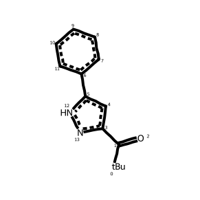 CC(C)(C)C(=O)c1cc(-c2ccccc2)[nH]n1